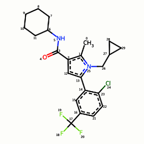 Cc1c(C(=O)NC2CCCCC2)cc(-c2cc(C(F)(F)F)ccc2Cl)n1CC1CC1